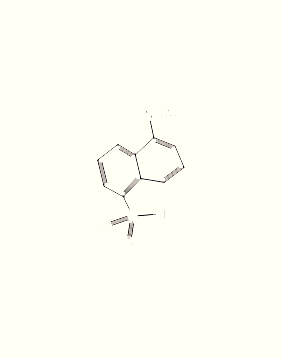 CC(=O)Nc1cccc2c(S(=O)(=O)Cl)cccc12